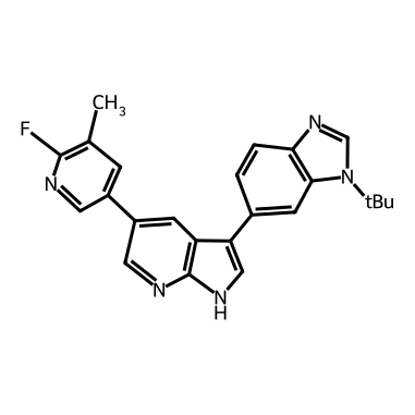 Cc1cc(-c2cnc3[nH]cc(-c4ccc5ncn(C(C)(C)C)c5c4)c3c2)cnc1F